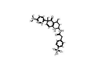 CCS(=O)(=O)c1ccc(CC(=O)NC2CC(C)C3=C(C=CC(C)(c4ccc(N(C)C)nn4)C3=O)N2)cc1